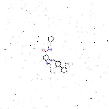 Cc1cc(C(=O)NCCc2ccccc2)cc2c1nc(CCC(F)(F)F)n2Cc1ccc(-c2ccccc2C(=O)O)cc1